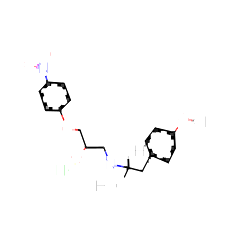 COc1ccc(CC(C)(C)NCC(O)COc2ccc([N+](=O)[O-])cc2)cc1.Cl